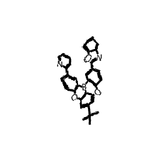 CC(C)(C)c1cc2c3c(c1)Oc1ccc(-c4nc5ccccc5o4)cc1B3c1cc(-c3ccccn3)ccc1O2